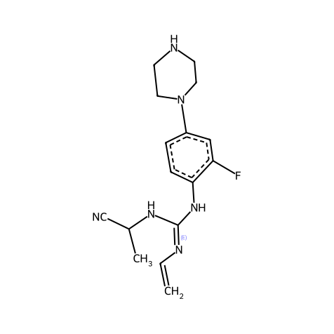 C=C/N=C(/Nc1ccc(N2CCNCC2)cc1F)NC(C)C#N